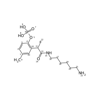 Cc1ccc(OP(=O)(O)O)c(C(F)C(=O)NCCCCCCN)c1